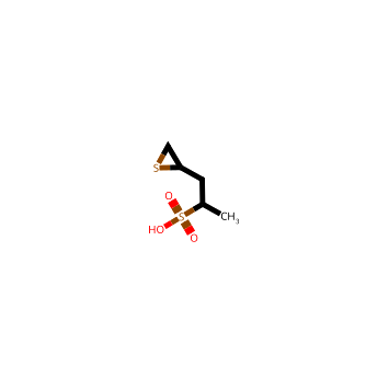 CC(CC1CS1)S(=O)(=O)O